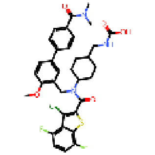 COc1ccc(-c2ccc(C(=O)N(C)C)cc2)cc1CN(C(=O)c1sc2c(F)ccc(F)c2c1Cl)C1CCC(CNC(=O)O)CC1